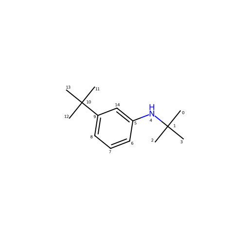 CC(C)(C)Nc1cccc(C(C)(C)C)c1